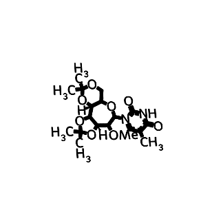 COC1C(n2cc(C)c(=O)[nH]c2=O)OC2COC(C)(C)O[C@H]2C2OC(C)(C)O[C@H]12